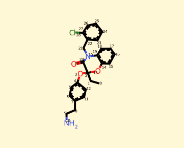 CCC1(Oc2ccc(CCN)cc2)Oc2ccccc2N(Cc2ccccc2Cl)C1=O